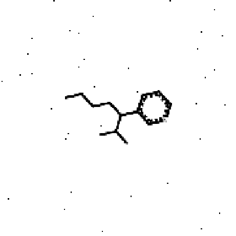 CCCCC([C](C)C)c1cccnc1